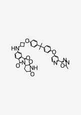 Cc1nnc(-c2cc(Oc3ccc(C(C)(C)c4ccc(O[C@H]5C[C@H](Nc6ccc7c(c6)C(=O)N(C6CCC(=O)NC6=O)C7=O)C5)cc4)cc3)ccn2)o1